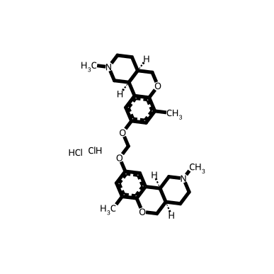 Cc1cc(OCOc2cc(C)c3c(c2)[C@H]2CN(C)CC[C@H]2CO3)cc2c1OC[C@@H]1CCN(C)C[C@H]21.Cl.Cl